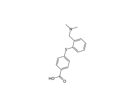 CN(C)Cc1ccccc1Sc1ccc(C(=O)O)cc1